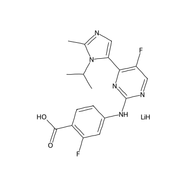 Cc1ncc(-c2nc(Nc3ccc(C(=O)O)c(F)c3)ncc2F)n1C(C)C.[LiH]